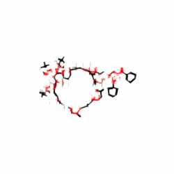 C=C1CC2CCC(=O)/C=C/C(O[Si](C)(C)C(C)(C)C)[C@@H]3O[C@H]4CC[C@H](CC(=O)C[C@H]5[C@H](CC6OC(CCC1O2)C[C@@H](C)C6=C)OC(C[C@@H](COC(=O)c1ccccc1)OC(=O)c1ccccc1)[C@@H]5OC)O[C@@H]4C(O[Si](C)(C)C(C)(C)C)C3O[Si](C)(C)C(C)(C)C